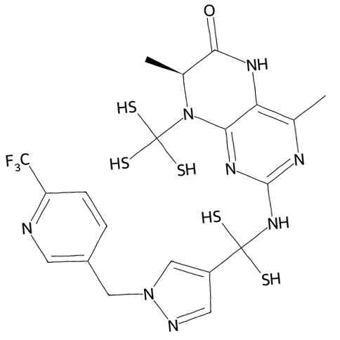 Cc1nc(NC(S)(S)c2cnn(Cc3ccc(C(F)(F)F)nc3)c2)nc2c1NC(=O)[C@H](C)N2C(S)(S)S